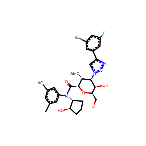 CO[C@@H]1[C@@H](n2cc(-c3cc(F)cc(Br)c3)nn2)[C@@H](O)[C@@H](CO)O[C@H]1C(=O)N(c1cc(C)cc(C#N)c1)[C@@H]1CCC[C@H]1O